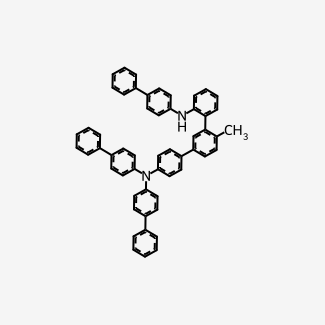 Cc1ccc(-c2ccc(N(c3ccc(-c4ccccc4)cc3)c3ccc(-c4ccccc4)cc3)cc2)cc1-c1ccccc1Nc1ccc(-c2ccccc2)cc1